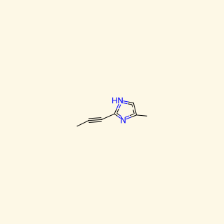 CC#Cc1nc(C)c[nH]1